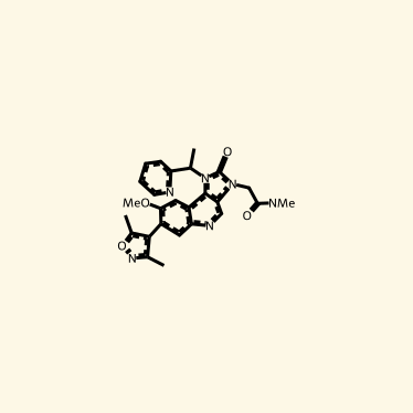 CNC(=O)Cn1c(=O)n(C(C)c2ccccn2)c2c3cc(OC)c(-c4c(C)noc4C)cc3ncc21